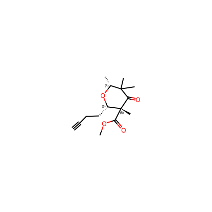 C#CCC[C@@H]1O[C@H](C)C(C)(C)C(=O)[C@]1(C)C(=O)OC